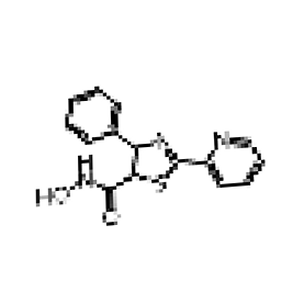 O=C(NO)C1SC(c2ccccn2)=NC1c1ccccc1